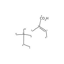 CC=C(C)C(=O)O.CCC(C)(C)C